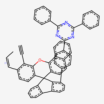 C#Cc1c(/C=C\C)ccc2c1Oc1c(ccc3ccccc13)C21c2ccccc2-c2cccc(-c3ccc(-c4nc(-c5ccccc5)nc(-c5ccccc5)n4)cc3)c21